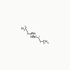 CCCNPCC